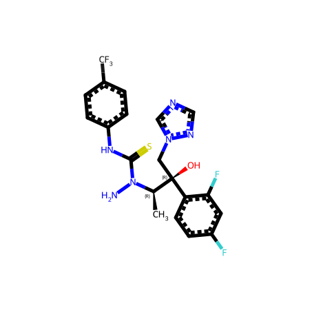 C[C@@H](N(N)C(=S)Nc1ccc(C(F)(F)F)cc1)[C@](O)(Cn1cncn1)c1ccc(F)cc1F